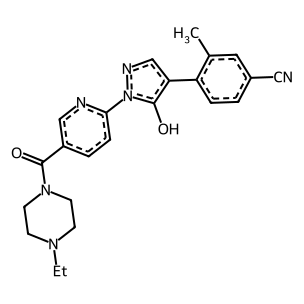 CCN1CCN(C(=O)c2ccc(-n3ncc(-c4ccc(C#N)cc4C)c3O)nc2)CC1